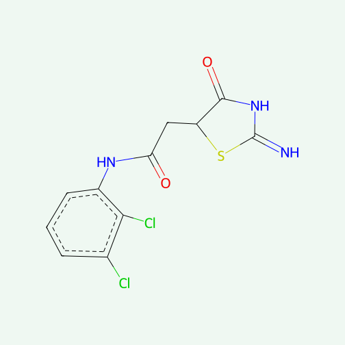 N=C1NC(=O)C(CC(=O)Nc2cccc(Cl)c2Cl)S1